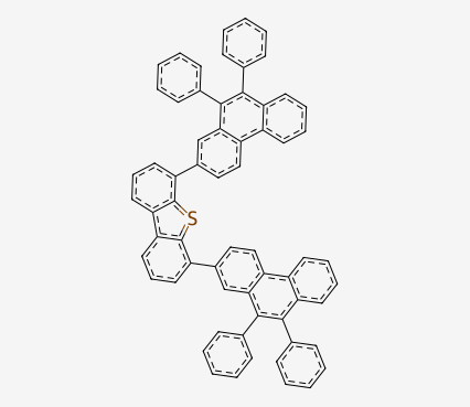 c1ccc(-c2c(-c3ccccc3)c3cc(-c4cccc5c4sc4c(-c6ccc7c(c6)c(-c6ccccc6)c(-c6ccccc6)c6ccccc67)cccc45)ccc3c3ccccc23)cc1